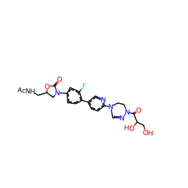 CC(=O)NCC1CN(c2ccc(-c3ccc(N4C=NN(C(=O)C(O)CO)CC4)nc3)c(F)c2)C(=O)O1